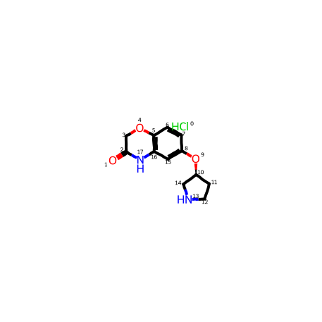 Cl.O=C1COc2ccc(O[C@H]3CCNC3)cc2N1